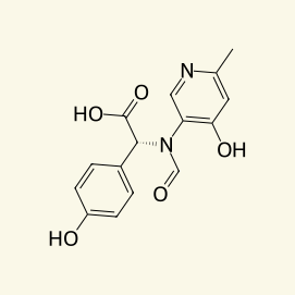 Cc1cc(O)c(N(C=O)[C@@H](C(=O)O)c2ccc(O)cc2)cn1